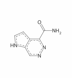 NC(=O)c1nncc2[nH]ccc12